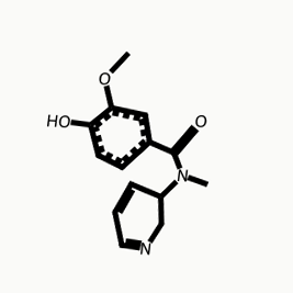 COc1cc(C(=O)N(C)C2C=CC=NC2)ccc1O